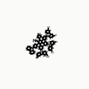 Cc1ccc2c(c1)c1cc(C)ccc1n2-c1ccc(-c2c(-c3ccncc3)c(C#N)c(-c3ccc(-n4c5ccccc5c5ccccc54)cc3)c(-c3ccc(-n4c5ccc(C)cc5c5cc(C)ccc54)cc3)c2-c2ccc(-n3c4ccc(C)cc4c4cc(C)ccc43)cc2)cc1